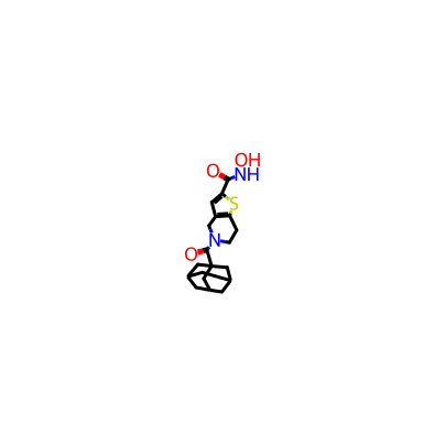 O=C(NO)c1cc2c(s1)CCN(C(=O)C13CC4CC(CC(C4)C1)C3)C2